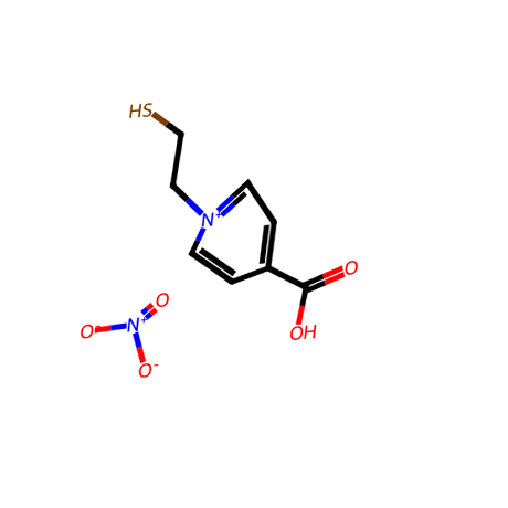 O=C(O)c1cc[n+](CCS)cc1.O=[N+]([O-])[O-]